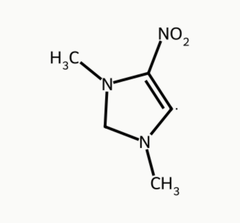 CN1[C]=C([N+](=O)[O-])N(C)C1